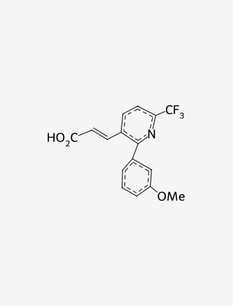 COc1cccc(-c2nc(C(F)(F)F)ccc2C=CC(=O)O)c1